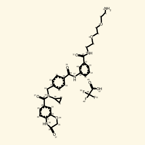 NCCOCCOCCNC(=O)c1cccc(NC(=O)c2ccc(CN(C(=O)c3ccc4c(c3)OCC(=O)N4)C3CC3)cc2)c1.O=C(O)C(F)(F)F